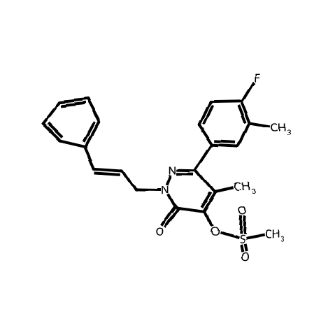 Cc1cc(-c2nn(CC=Cc3ccccc3)c(=O)c(OS(C)(=O)=O)c2C)ccc1F